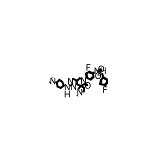 CN1CCC2(C1)C(=O)N(c1ccc(NS(=O)(=O)Cc3ccc(F)cc3)c(F)c1)Cc1cnc(NC3CCC(N(C)C)CC3)nc12